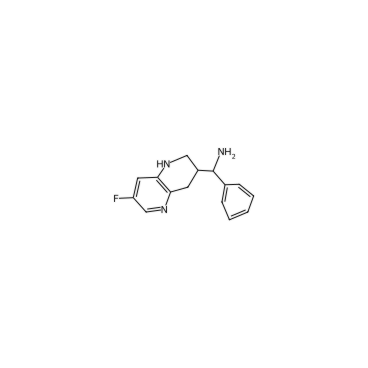 NC(c1ccccc1)C1CNc2cc(F)cnc2C1